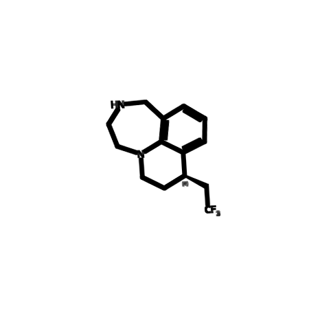 FC(F)(F)C[C@H]1CCN2CCNCc3cccc1c32